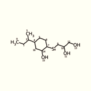 CCC(C)C1CCC(SCC(O)CO)C(O)C1